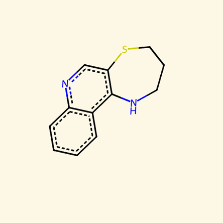 c1ccc2c3c(cnc2c1)SCCCN3